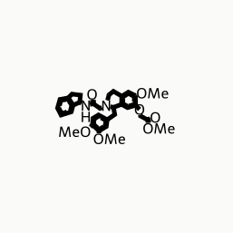 COC(=O)COc1cc2c(cc1OC)CCN(CC(=O)NC1CCc3ccccc31)C2Cc1ccc(OC)c(OC)c1